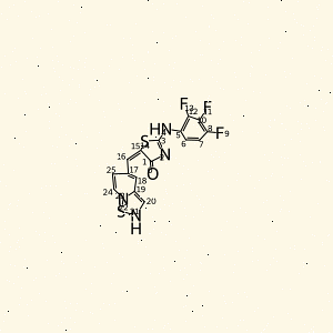 O=C1N=C(Nc2ccc(F)c(F)c2F)SC1=CC1=CC2=CNSN2C=C1